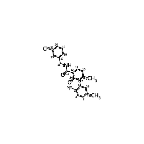 Cc1ccc(F)c(-n2c(C)ccc(C(=O)NCc3cccc(Cl)c3)c2=O)c1